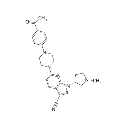 CC(=O)c1ccc(N2CCN(c3ccc4c(C#N)cn([C@@H]5CCN(C)C5)c4n3)CC2)cc1